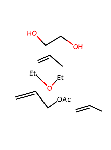 C=CC.C=CC.C=CCOC(C)=O.CCOCC.OCCO